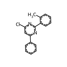 Cc1ccccc1-c1nc(Cl)cc(-c2ccccc2)n1